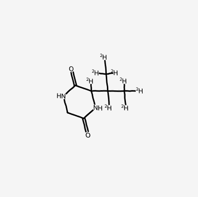 [2H]C([2H])([2H])C([2H])(C([2H])([2H])[2H])C1([2H])NC(=O)CNC1=O